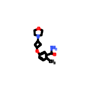 Cc1ccc(OC2CC(N3CCOCC3)C2)cc1C(N)=O